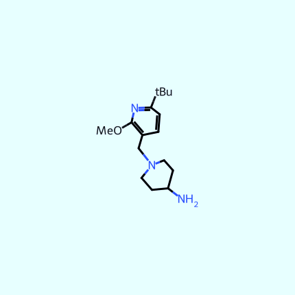 COc1nc(C(C)(C)C)ccc1CN1CCC(N)CC1